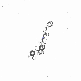 O=C(/C=C/CC(=O)OCCN1CCOCC1)Nc1cc2c(Nc3ccc(F)c(Cl)c3)ncnc2cn1